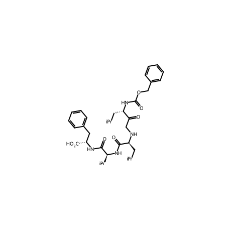 CC(C)C[C@H](NC(=O)OCc1ccccc1)C(=O)CN[C@@H](CC(C)C)C(=O)N[C@H](C(=O)N[C@@H](Cc1ccccc1)C(=O)O)C(C)C